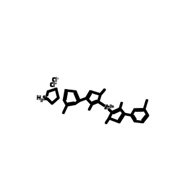 C1CC[SiH2]C1.CC1=[C]([Zr+2][C]2=C(C)C(c3cccc(C)c3)=CC2C)C(C)C=C1c1cccc(C)c1.[Cl-].[Cl-]